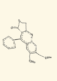 COc1cc2nc3c(c(-c4ccccc4)c2cc1OC)C(=O)OC3